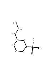 FC(F)(F)[C@@H]1CCCN(SSS)C1